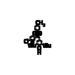 Cc1ccc(S(=O)(=O)N(Cc2cc(C(C)(C)C)c(O)c(C(C)(C)C)c2)c2ccc(Cl)nc2)cc1